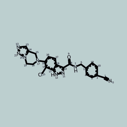 N#Cc1ccc(CNC(=O)c2n[nH]c3c(Cl)c(N4CCn5nncc5C4)ccc23)cc1